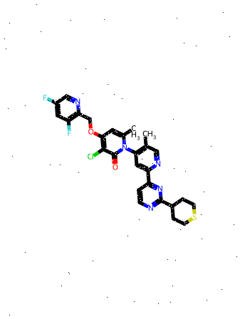 Cc1cnc(-c2ccnc(C3CCSCC3)n2)cc1-n1c(C)cc(OCc2ncc(F)cc2F)c(Cl)c1=O